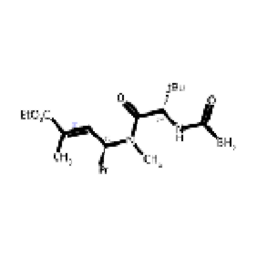 BC(=O)N[C@H](C(=O)N(C)[C@H](/C=C(\C)C(=O)OCC)C(C)C)C(C)(C)C